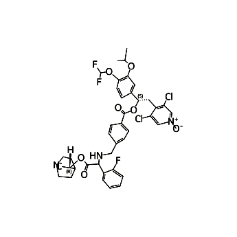 CC(C)Oc1cc([C@H](Cc2c(Cl)c[n+]([O-])cc2Cl)OC(=O)c2ccc(CNC(C(=O)O[C@H]3CN4CCC3CC4)c3ccccc3F)cc2)ccc1OC(F)F